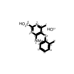 CNc1nc(C(=O)O)nc(C)c1Sc1ccccc1C.Cl